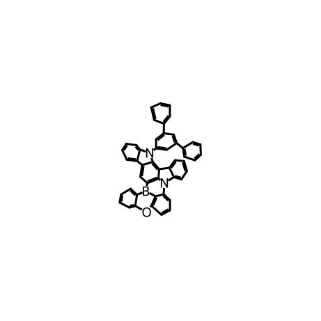 c1ccc(-c2cc(-c3ccccc3)cc(-n3c4ccccc4c4cc5c6c(c7ccccc7n6-c6cccc7c6B5c5ccccc5O7)c43)c2)cc1